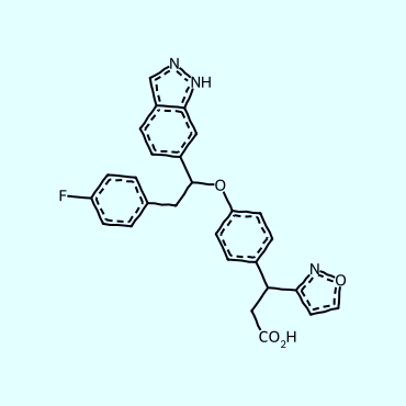 O=C(O)CC(c1ccc(OC(Cc2ccc(F)cc2)c2ccc3cn[nH]c3c2)cc1)c1ccon1